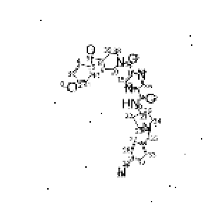 COc1ccc(C(=O)C2CCN(C(=O)c3cnc(C(=O)NC4CCN(Cc5ccc(C#N)cc5)CC4)cn3)CC2)cc1